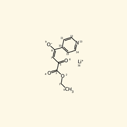 CCOC(=O)C(=O)/C=C(/[O-])c1ccncc1.[Li+]